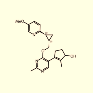 COc1ccc([C@H]2C[C@@H]2COc2nc(C)ncc2C2=C(C)C(O)CC2)nc1